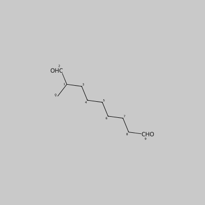 [CH2]C(C=O)CCCCCCC=O